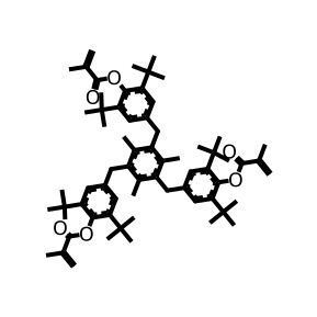 C=C(C)C(=O)Oc1c(C(C)(C)C)cc(Cc2c(C)c(Cc3cc(C(C)(C)C)c(OC(=O)C(=C)C)c(C(C)(C)C)c3)c(C)c(Cc3cc(C(C)(C)C)c(OC(=O)C(=C)C)c(C(C)(C)C)c3)c2C)cc1C(C)(C)C